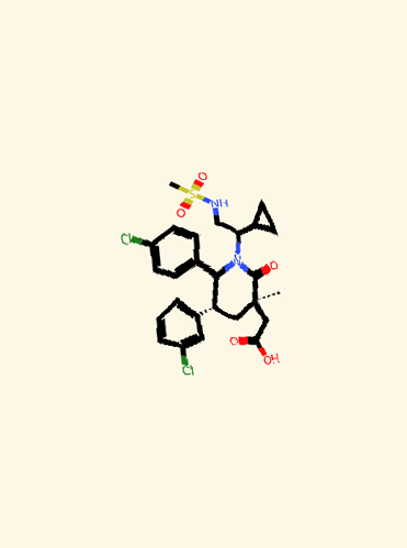 C[C@]1(CC(=O)O)C[C@H](c2cccc(Cl)c2)C(c2ccc(Cl)cc2)N(C(CNS(C)(=O)=O)C2CC2)C1=O